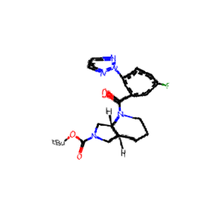 CC(C)(C)OC(=O)N1C[C@H]2CCCN(C(=O)c3cc(F)ccc3-n3nccn3)[C@H]2C1